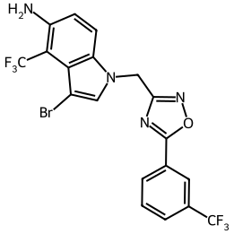 Nc1ccc2c(c(Br)cn2Cc2noc(-c3cccc(C(F)(F)F)c3)n2)c1C(F)(F)F